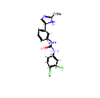 CNc1ncc(-c2cccc(NC(=O)Nc3ccc(Cl)c(Cl)c3)c2)[nH]1